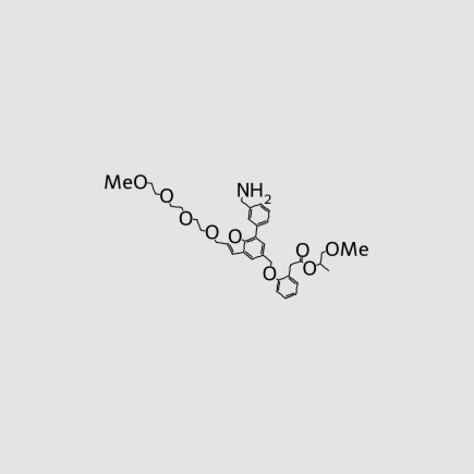 COCCOCCOCCOCc1cc2cc(COc3ccccc3CC(=O)OC(C)COC)cc(-c3cccc(CN)c3)c2o1